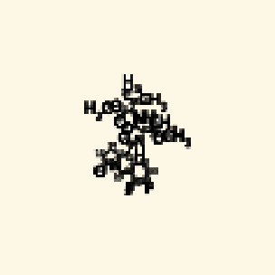 COC(=O)[C@@H](NC(=O)[C@@H](NC(=O)C[C@@H]1CCC(=O)N1Cc1cccc(F)c1F)[C@@H](C)OC)C(C)C